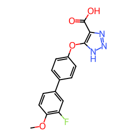 COc1ccc(-c2ccc(Oc3[nH]nnc3C(=O)O)cc2)cc1F